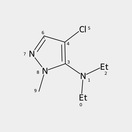 CCN(CC)c1c(Cl)[c]nn1C